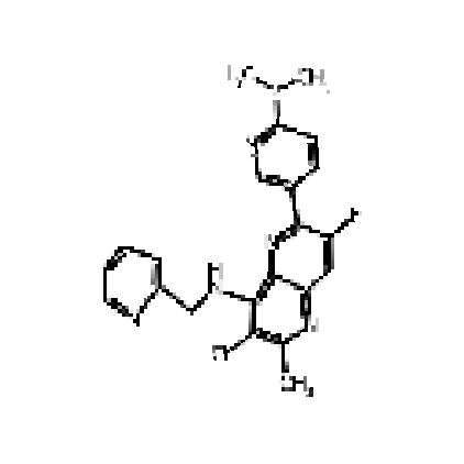 Cc1nc2cc(F)c(-c3ccc(P(C)C)nc3)nc2c(NCc2ccccn2)c1Cl